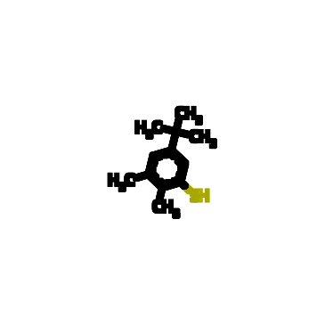 Cc1cc(C(C)(C)C)cc(S)c1C